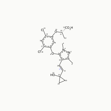 Cc1nn(C)c(Oc2cc(O[C@@H](C)C(=O)O)c(Cl)cc2Cl)c1/C=C/C1(O)CC1